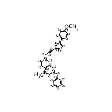 COc1ccc(-c2cnc(C#CCN3CCC4=C(C3)CN(Cc3ccccc3)CN4C)s2)cc1